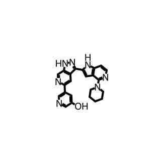 Oc1cncc(-c2cc3c(-c4cc5c(N6CCCCC6)nccc5[nH]4)n[nH]c3cn2)c1